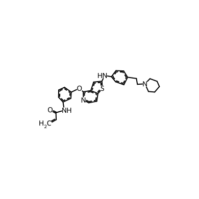 C=CC(=O)Nc1cccc(Oc2nccc3sc(Nc4ccc(CCN5CCCCC5)cc4)cc23)c1